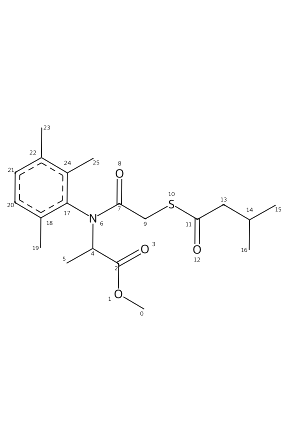 COC(=O)C(C)N(C(=O)CSC(=O)CC(C)C)c1c(C)ccc(C)c1C